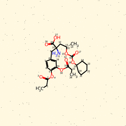 CCC(=O)Oc1ccc(CC(N)(C[C@H](C)OC(=O)OC2CCCCC2)C(=O)O)cc1OC(=O)CC